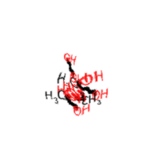 CC(CO)CCCCO.CC(CO)CO.CC(O)CCO.OCCCCO